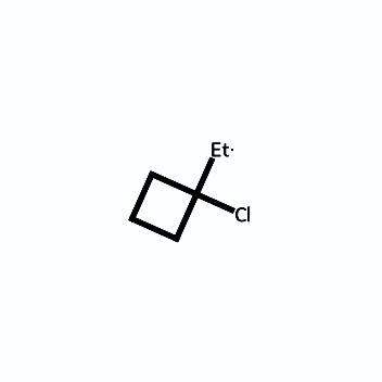 C[CH]C1(Cl)CCC1